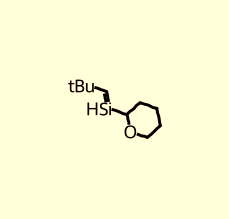 CC(C)(C)C=[SiH]C1CCCCO1